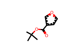 CC(C)(C)OC(=O)c1ccoc1